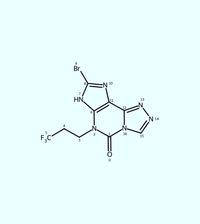 O=c1n(CCC(F)(F)F)c2[nH]c(Br)nc2c2nncn12